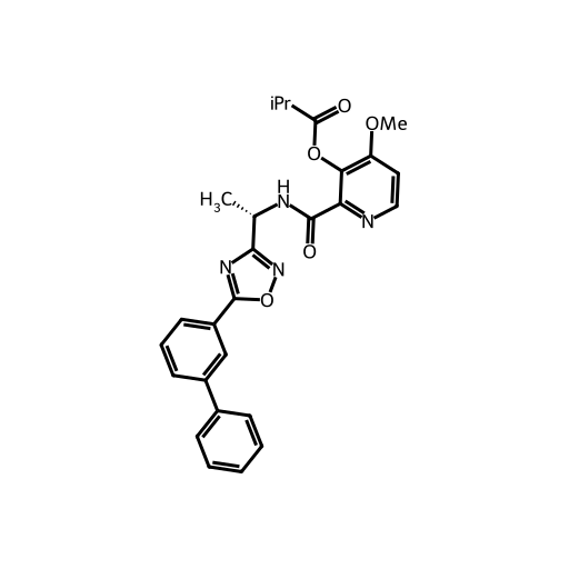 COc1ccnc(C(=O)N[C@@H](C)c2noc(-c3cccc(-c4ccccc4)c3)n2)c1OC(=O)C(C)C